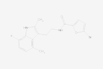 Cc1[nH]c2c(F)ccc(C)c2c1CCNC(=O)c1ccc(Br)o1